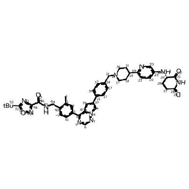 Cc1cc(-c2ncnn3cc(-c4ccc(CN5CCC(c6ccc(N[C@H]7CCC(=O)NC7=O)cn6)CC5)cc4)cc23)ccc1CNC(=O)c1noc(C(C)(C)C)n1